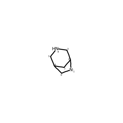 C1[N]C2CNCC1C2